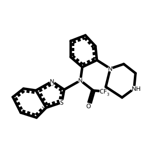 O=C(N(c1nc2ccccc2s1)c1ccccc1N1CCNCC1)C(F)(F)F